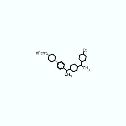 CCCCC[C@H]1CC[C@H](c2ccc(C(C)C3CCC(C(C)C4CCC(CC)CC4)CC3)cc2)CC1